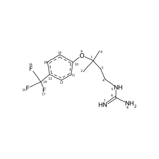 CC(C)(CCNC(=N)N)Oc1ccc(C(F)(F)F)cc1